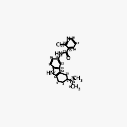 CN(C)C1CCc2[nH]c3ccc(NC(=O)c4cccnc4Cl)cc3c2C1